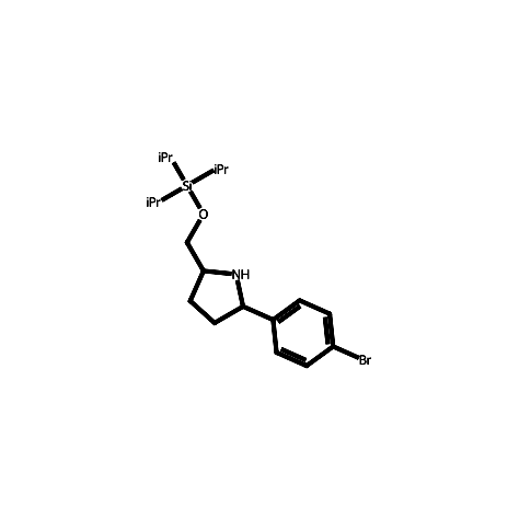 CC(C)[Si](OCC1CCC(c2ccc(Br)cc2)N1)(C(C)C)C(C)C